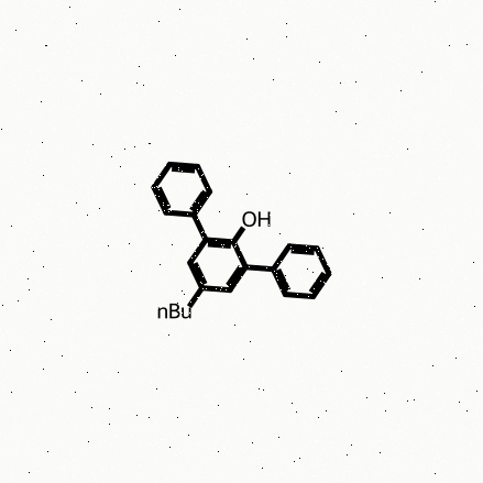 CCCCc1cc(-c2ccccc2)c(O)c(-c2ccccc2)c1